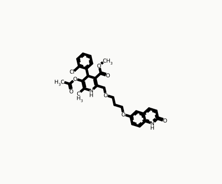 COC(=O)C1=C(COCCCOc2ccc3[nH]c(=O)ccc3c2)NC(C)=C(OC(C)=O)C1c1ccccc1Cl